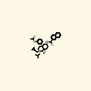 COC12CC[C@H](NC(=O)c3ccc4ccccc4c3)C[C@@]1(c1cccc(OC(C)=O)c1)CC[N@+](CC(C)C)(CC1CC1)C2